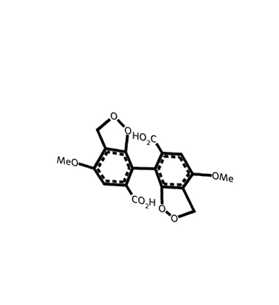 COc1cc(C(=O)O)c(-c2c(C(=O)O)cc(OC)c3c2OOC3)c2c1COO2